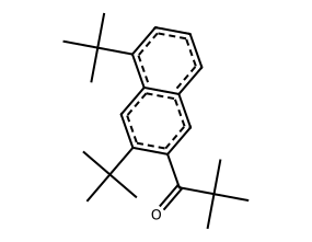 CC(C)(C)C(=O)c1cc2cccc(C(C)(C)C)c2cc1C(C)(C)C